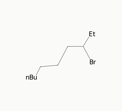 [CH2]CC(Br)CCCCCCC